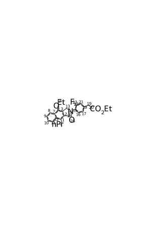 CCCc1c2c(c(OCC)c3ccccc13)CN(c1ccc(CC(=O)OCC)cc1F)C2=O